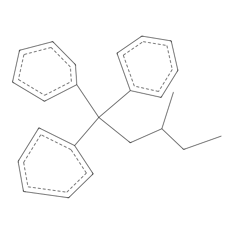 CCC(C)CC(c1ccccc1)(c1ccccc1)c1ccccc1